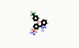 CNS(=O)(=O)c1ccc(Oc2ccc(C(F)(F)F)cc2)c(-c2[nH]nc3ccccc23)c1